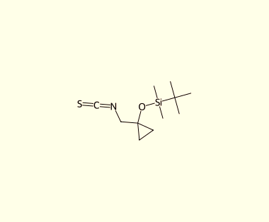 CC(C)(C)[Si](C)(C)OC1(CN=C=S)CC1